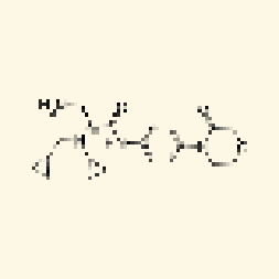 NC[C@@H](C(=O)Nc1ccc(N2CCOCC2=O)cc1)N(CC1CC1)C1CC1